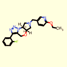 CCOc1ccc(CN2C[C@@H]3OCc4c(-c5ccccc5F)nnn4[C@H]3C2)cn1